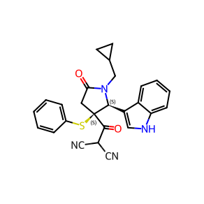 N#CC(C#N)C(=O)[C@]1(Sc2ccccc2)CC(=O)N(CC2CC2)[C@H]1c1c[nH]c2ccccc12